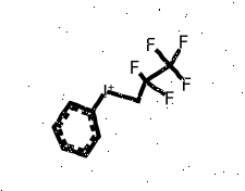 FC(F)(F)C(F)(F)C[I+]c1ccccc1